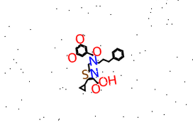 COc1cc(OC)cc(C(=O)N(CCCc2ccccc2)Cc2nc(C(=O)O)c(C3CC3)s2)c1